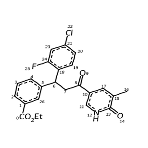 CCOC(=O)c1cccc(C(CC(=O)c2c[nH]c(=O)c(C)c2)c2ccc(Cl)cc2F)c1